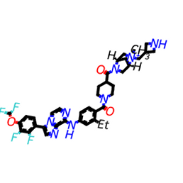 CCc1cc(Nc2nccn3c(-c4ccc(OC(F)F)c(F)c4F)cnc23)ccc1C(=O)N1CCC(C(=O)N2C[C@@H]3C[C@H]2C[N+]3(C)CC2CNC2)CC1